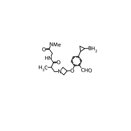 BC1CC1c1ccc(OC2CN(CC(C)C(=O)NCC(=O)NC)C2)c(C=O)c1